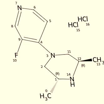 C[C@@H]1CN(c2ccncc2F)C[C@@H](C)N1.Cl.Cl